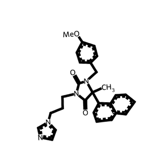 COc1ccc(CN2C(=O)N(CCCn3ccnc3)C(=O)C2(C)c2cccc3ccccc23)cc1